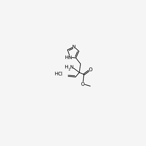 C=CC(N)(Cc1cnc[nH]1)C(=O)OC.Cl